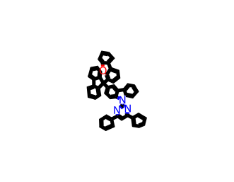 c1ccc(-c2cc(-c3ccccc3)nc(-n3c4ccccc4c4cc(C5(c6cccc7c6oc6ccccc67)c6ccccc6-c6ccccc65)ccc43)n2)cc1